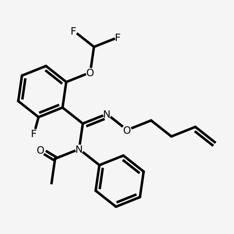 C=CCCON=C(c1c(F)cccc1OC(F)F)N(C(C)=O)c1ccccc1